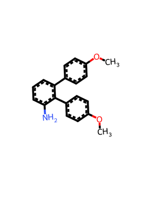 COc1ccc(-c2cccc(N)c2-c2ccc(OC)cc2)cc1